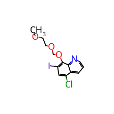 COCCOCOc1c(I)cc(Cl)c2cccnc12